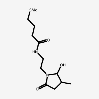 CSCCCC(=O)NCCN1C(=O)CC(C)C1O